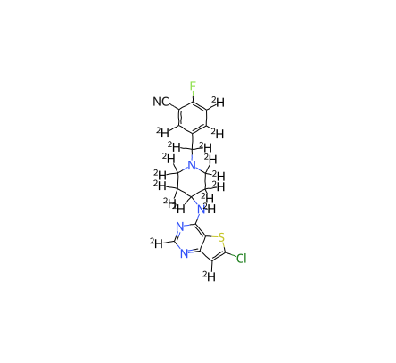 [2H]c1nc(N([2H])C2([2H])C([2H])([2H])C([2H])([2H])N(C([2H])([2H])c3c([2H])c([2H])c(F)c(C#N)c3[2H])C([2H])([2H])C2([2H])[2H])c2sc(Cl)c([2H])c2n1